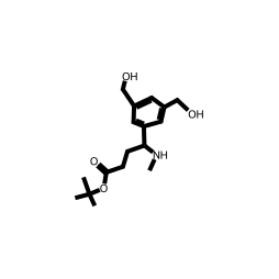 CNC(CCC(=O)OC(C)(C)C)c1cc(CO)cc(CO)c1